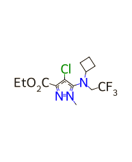 CCOC(=O)c1nn(C)c(N(CC(F)(F)F)C2CCC2)c1Cl